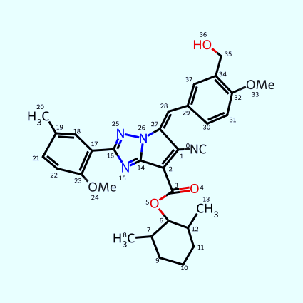 [C-]#[N+]c1c(C(=O)OC2C(C)CCCC2C)c2nc(-c3cc(C)ccc3OC)nn2/c1=C/c1ccc(OC)c(CO)c1